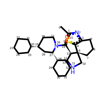 Cc1nc2c(s1)[C@]1(CCC2)CNC[C@H]1C(=O)N1CC[C@@H](C2CCCCC2)C[C@H]1C1CCCCC1